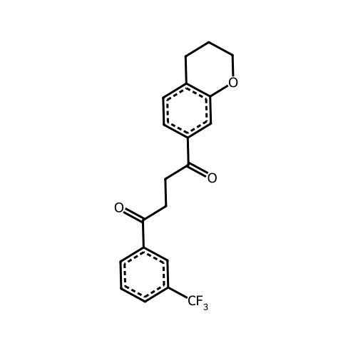 O=C(CCC(=O)c1ccc2c(c1)OCCC2)c1cccc(C(F)(F)F)c1